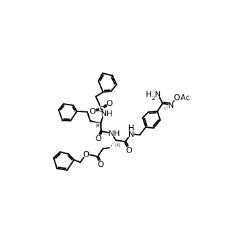 CC(=O)O/N=C(\N)c1ccc(CNC(=O)[C@H](CCC(=O)OCc2ccccc2)NC(=O)[C@@H](CCc2ccccc2)NS(=O)(=O)Cc2ccccc2)cc1